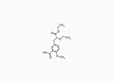 CCOC(=O)C(Cc1ccc(OC)c(C(=O)O)c1)OCC